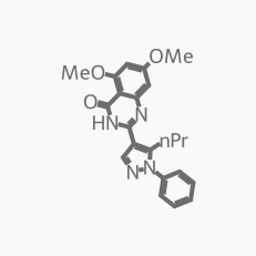 CCCc1c(-c2nc3cc(OC)cc(OC)c3c(=O)[nH]2)cnn1-c1ccccc1